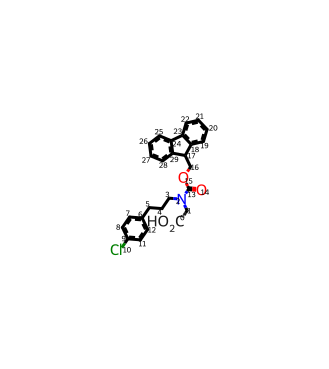 O=C(O)CN(CCCc1ccc(Cl)cc1)C(=O)OCC1c2ccccc2-c2ccccc21